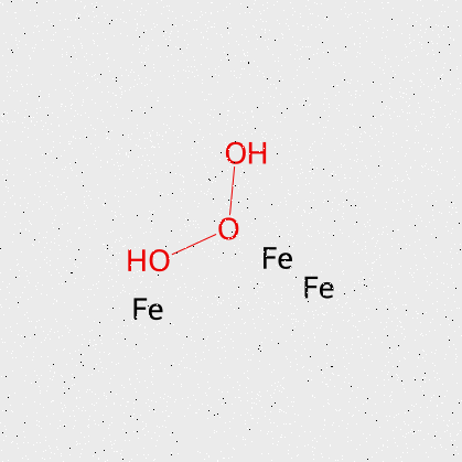 OOO.[Fe].[Fe].[Fe]